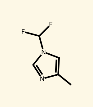 Cc1cn(C(F)F)cn1